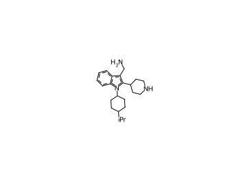 CC(C)C1CCC(n2c(C3CCNCC3)c(CN)c3ccccc32)CC1